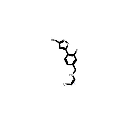 N/C=C\NCc1ccc(-c2cc(O)no2)c(F)c1